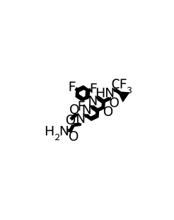 NC(=O)C1CN(c2ccc3c(=O)c(C(=O)NC(C4CC4)C(F)(F)F)cn(-c4c(F)cc(F)cc4F)c3n2)C(=O)O1